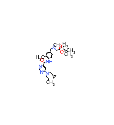 CCCN(CC1CC1)c1cc(C(=O)Nc2ccc(CN(C)CC(=O)OC(C)(C)C)cc2C)ncn1